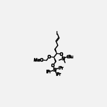 COCO[C@H](CO[Si](C(C)C)(C(C)C)C(C)C)[C@@H](CC/C=C/I)O[Si](C)(C)C(C)(C)C